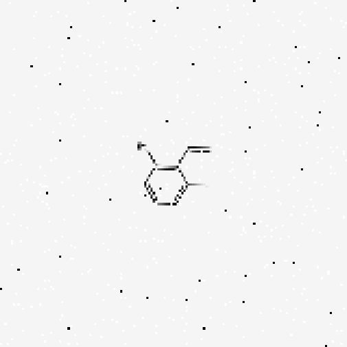 C=Cc1c(I)cccc1[C](C)C